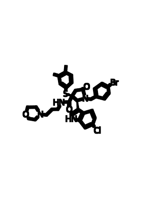 Cc1ccc(S[C@@]2(C(=O)NCCCN3CCOCC3)CC(=O)N(Cc3ccc(Br)cc3)[C@H]2c2c[nH]c3cc(Cl)ccc23)cc1C